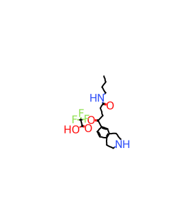 CCCCNC(=O)CCC(=O)c1ccc2c(c1)CCNCC2.O=C(O)C(F)(F)F